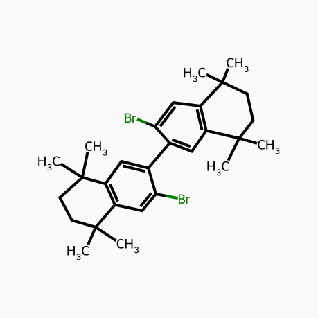 CC1(C)CCC(C)(C)c2cc(-c3cc4c(cc3Br)C(C)(C)CCC4(C)C)c(Br)cc21